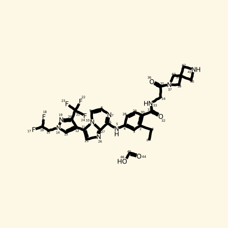 CCc1cc(Nc2nccn3c(-c4cn(CC(F)F)nc4C(F)(F)F)cnc23)ccc1C(=O)NCC(=O)N1CC2(CNC2)C1.O=CO